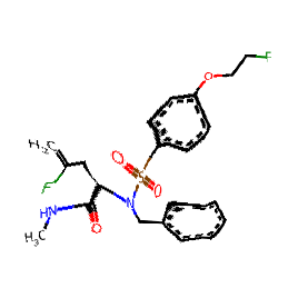 C=C(F)C[C@H](C(=O)NC)N(Cc1ccccc1)S(=O)(=O)c1ccc(OCCF)cc1